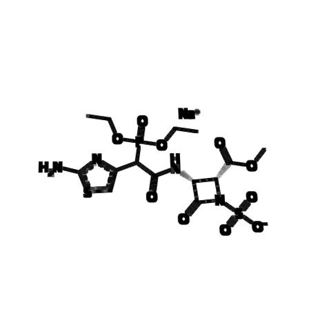 CCOP(=O)(OCC)C(C(=O)N[C@H]1C(=O)N(S(=O)(=O)[O-])[C@H]1C(=O)OC)c1csc(N)n1.[Na+]